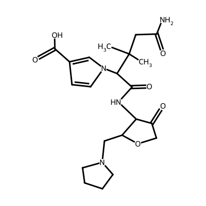 CC(C)(CC(N)=O)C(C(=O)NC1C(=O)COC1CN1CCCC1)n1ccc(C(=O)O)c1